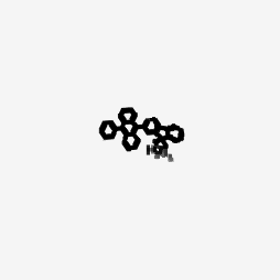 CCC1(CC)c2ccccc2-c2ccc(-c3c4ccccc4c(-c4ccccc4)c4ccccc34)cc21